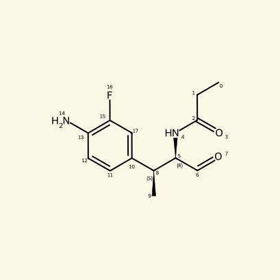 CCC(=O)N[C@@H](C=O)[C@@H](C)c1ccc(N)c(F)c1